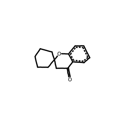 O=C1CC2(CCCCC2)Oc2ccccc21